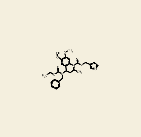 CCOC(=O)N(Cc1ccccc1)C1CC(C)N(C(=O)OCc2ccoc2)c2cc(OC)c(OC)cc21